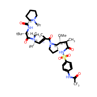 CO[C@H]([C@@H](C)C(=O)NS(=O)(=O)c1ccc(NC(=O)C(F)(F)F)cc1)[C@@H]1CCCN1C(=O)/C(C)=C/[C@H](C(C)C)N(C)C(=O)[C@@H](NC(=O)[C@@H]1CCCCN1C(C)C)C(C)(C)C